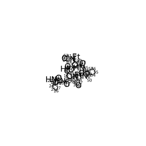 CCN(c1cc(O[PH](=O)Oc2cc(C(=O)NCc3c4c(c(C)[nH]c3=O)CCCC4)c(C)c(N(CC)C3CCOCC3)c2)cc(C(=O)NCc2c3c(c(C)[nH]c2=O)CCCC3)c1C)C1CCOCC1